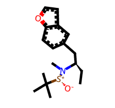 CC[C@H](Cc1ccc2occc2c1)N(C)[S@+]([O-])C(C)(C)C